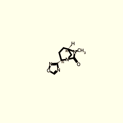 CN1C(=O)N2C[C@H]1CC[C@H]2c1ncon1